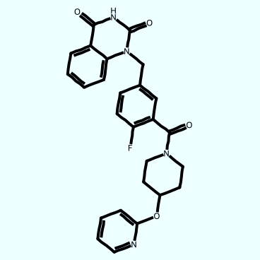 O=C(c1cc(Cn2c(=O)[nH]c(=O)c3ccccc32)ccc1F)N1CCC(Oc2ccccn2)CC1